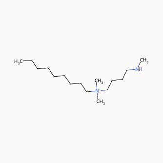 CCCCCCCCC[N+](C)(C)CCCCNC